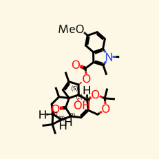 COc1ccc2c(c1)c(C(=O)O[C@H]1C(C)=CC34C(=O)[C@@H](C=C5COC(C)(C)O[C@H]5[C@]13O)[C@H]1[C@@H](CC4C)C1(C)C)c(C)n2C